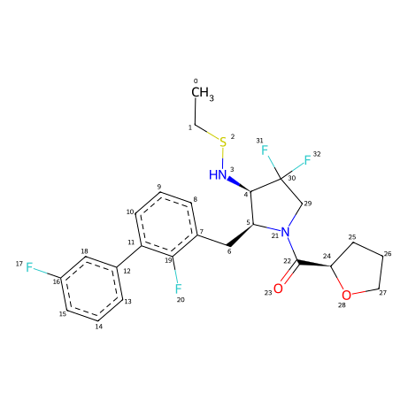 CCSN[C@@H]1[C@H](Cc2cccc(-c3cccc(F)c3)c2F)N(C(=O)[C@H]2CCCO2)CC1(F)F